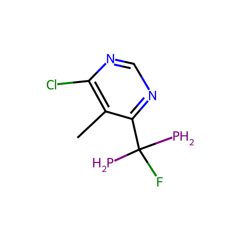 Cc1c(Cl)ncnc1C(F)(P)P